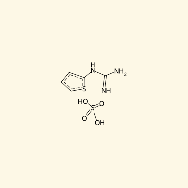 N=C(N)Nc1cccs1.O=S(=O)(O)O